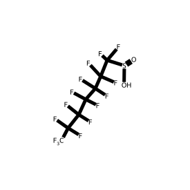 O=S(O)C(F)(F)C(F)(F)C(F)(F)C(F)(F)C(F)(F)C(F)(F)C(F)(F)F